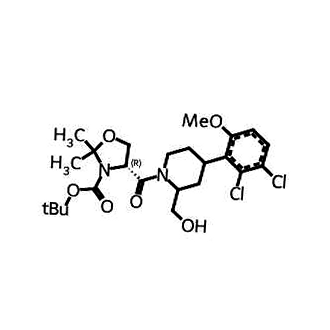 COc1ccc(Cl)c(Cl)c1C1CCN(C(=O)[C@H]2COC(C)(C)N2C(=O)OC(C)(C)C)C(CO)C1